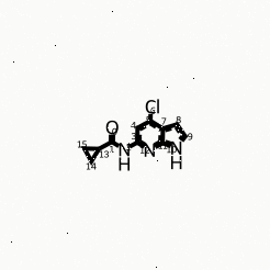 O=C(Nc1cc(Cl)c2cc[nH]c2n1)C1CC1